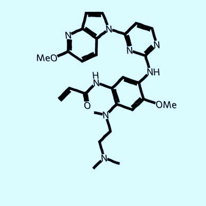 C=CC(=O)Nc1cc(Nc2nccc(-n3ccc4nc(OC)ccc43)n2)c(OC)cc1N(C)CCN(C)C